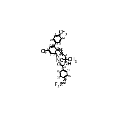 CC(C#N)(Cn1nc2cc(Cl)cc(-c3ccc(C(F)(F)F)cc3)c2n1)NC(=O)c1ccc(OC(F)(F)F)cc1